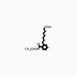 CCCCCCCCCCCCCCCCCc1ccccc1C(=O)N(C)O